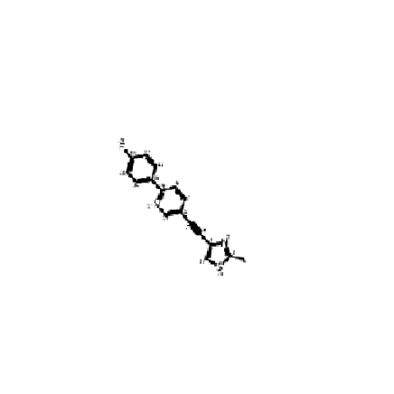 Cc1nc(C#Cc2ccc(-c3ccc(F)cc3)nc2)cs1